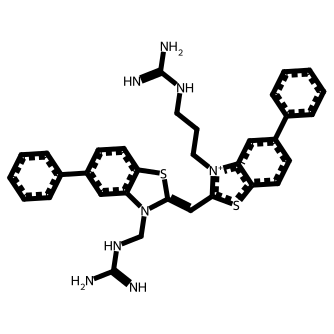 N=C(N)NCCC[n+]1c(C=C2Sc3ccc(-c4ccccc4)cc3N2CNC(=N)N)sc2ccc(-c3ccccc3)cc21